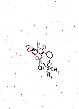 CCN(CCC(C)(C)C)C(=O)Cc1c(C2CCCCC2)c(=O)[nH]c2cc(OC)ccc12